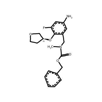 CN(Cc1cc(N)cc(F)c1O[C@H]1CCOC1)C(=O)OCc1ccccc1